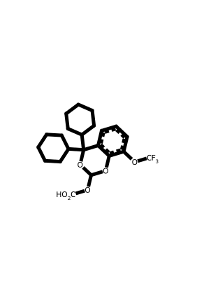 O=C(O)OC1Oc2c(OC(F)(F)F)cccc2C(C2CCCCC2)(C2CCCCC2)O1